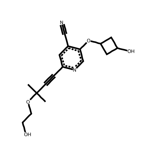 CC(C)(C#Cc1cc(C#N)c(OC2CC(O)C2)cn1)OCCO